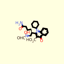 NC(=O)CCC[C@H](CN(O)C=O)c1c(C(=O)O)c(=O)c2ccccc2n1C1CCCCC1